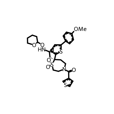 COc1ccc(-c2ccc([C@@]3(CC(=O)NOC4CCCCO4)CCN(C(=O)c4ccsc4)CCS3(=O)=O)s2)cc1